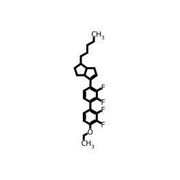 CCCCCC1CCC2C(c3ccc(-c4ccc(OCC)c(F)c4F)c(F)c3F)=CCC12